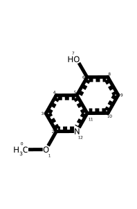 COc1ccc2c(O)cccc2n1